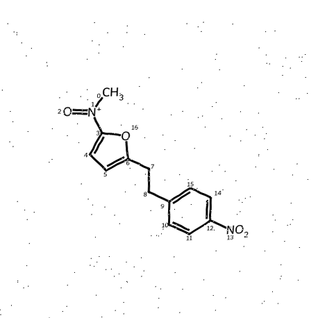 C[N+](=O)c1ccc(CCc2ccc([N+](=O)[O-])cc2)o1